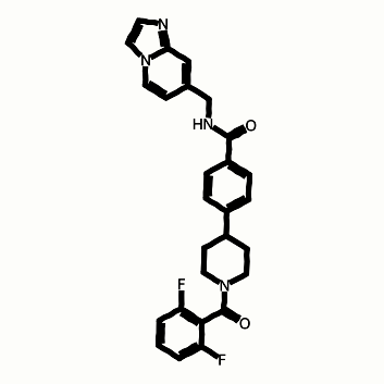 O=C(NCc1ccn2ccnc2c1)c1ccc(C2CCN(C(=O)c3c(F)cccc3F)CC2)cc1